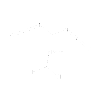 CCCCCC(Cl)Cl.O=C=NCN=C=O